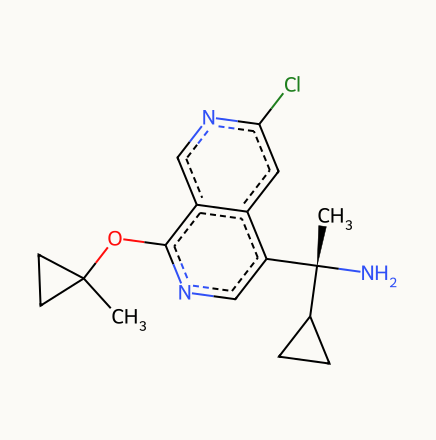 CC1(Oc2ncc([C@](C)(N)C3CC3)c3cc(Cl)ncc23)CC1